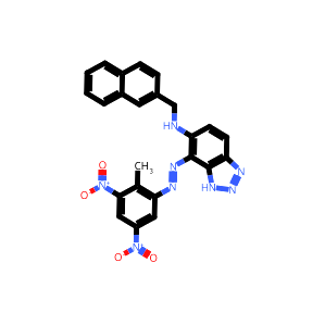 Cc1c(/N=N/c2c(NCc3ccc4ccccc4c3)ccc3nn[nH]c23)cc([N+](=O)[O-])cc1[N+](=O)[O-]